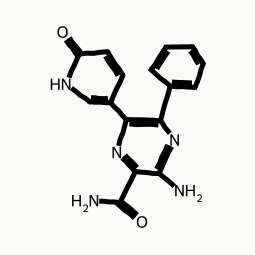 NC(=O)c1nc(-c2ccc(=O)[nH]c2)c(-c2ccccc2)nc1N